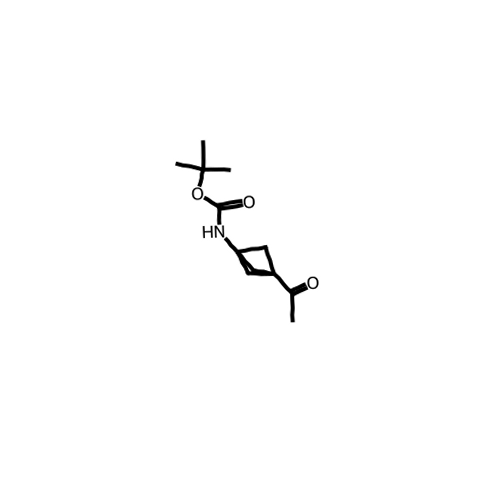 CC(=O)C12CC(NC(=O)OC(C)(C)C)(C1)C2